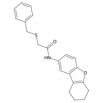 O=C(CSCc1ccccc1)Nc1ccc2oc3c(c2c1)CCCC3